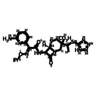 CC(C)ON=C(C(=O)NC1C(=O)N2CC(C(=O)O)(C(C)Sc3nnn[nH]3)CS[C@H]12)c1cccc(N)n1